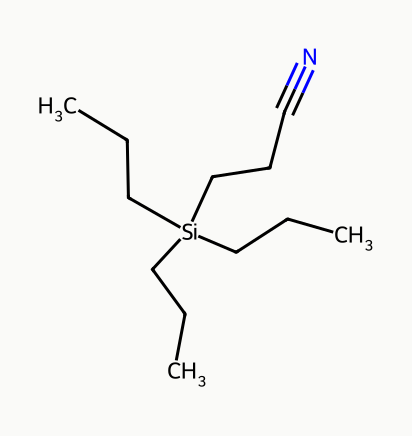 CCC[Si](CCC)(CCC)CCC#N